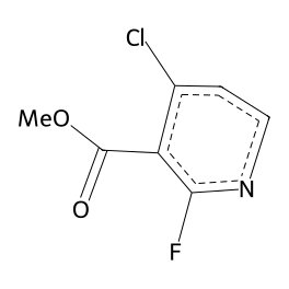 COC(=O)c1c(Cl)ccnc1F